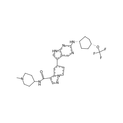 CN1CCC(NC(=O)c2cnn3ccc(-c4c[nH]c5nc(N[C@H]6CC[C@@H](OC(F)(F)F)CC6)ncc45)cc23)CC1